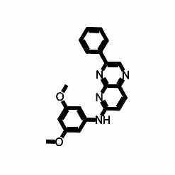 COc1cc(Nc2ccc3ncc(-c4ccccc4)nc3n2)cc(OC)c1